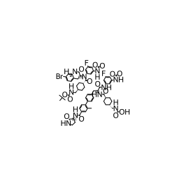 CC(C)(C)OC(=O)NC[C@H]1CC[C@H](C(=O)N(c2cc(F)c3oc(=O)[nH]c3c2)[C@@H](Cc2ccc(Br)cc2)C(N)=O)CC1.Cc1cc(C(=O)N[C@H]2CCNC2=O)ccc1-c1ccc(C[C@H](NC(=O)[C@H]2CC[C@H](CNC(=O)O)CC2)C(=O)Nc2cc(F)c3oc(=O)[nH]c3c2)cc1